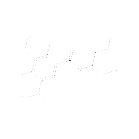 CC(=O)N(O)c1c(I)c(CO)c(I)c(C(=O)NC(CO)C(O)CO)c1I